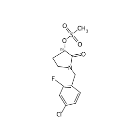 CS(=O)(=O)O[C@H]1CCN(Cc2ccc(Cl)cc2F)C1=O